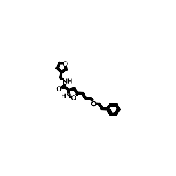 O=C(NCC1CCOC1)C1CC(CCCOCCc2ccccc2)ON1